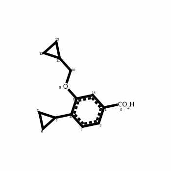 O=C(O)c1ccc(C2CC2)c(OCC2CC2)c1